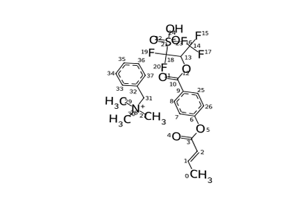 CC=CC(=O)Oc1ccc(C(=O)OC(C(F)(F)F)C(F)(F)S(=O)(=O)O)cc1.C[N+](C)(C)Cc1ccccc1